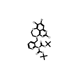 CC(C)(C)OC(=O)N(C(=O)OC(C)(C)C)c1ncccc1CN1CCOc2c(Cl)c(Br)cc3nc(Cl)nc1c23